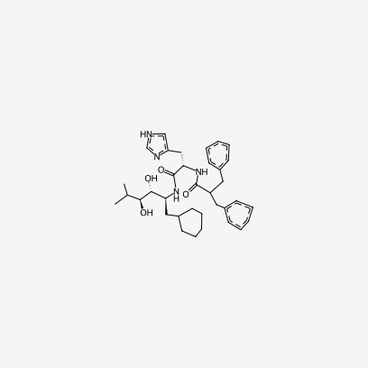 CC(C)[C@H](O)[C@H](O)[C@H](CC1CCCCC1)NC(=O)[C@H](Cc1c[nH]cn1)NC(=O)C(Cc1ccccc1)Cc1ccccc1